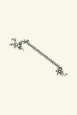 CCCN(CCCO)C(=O)C1=Cc2sc(CC3CN(C(=O)CCOCCOCCOCCOCCOCCOCCOCCOCCOCCOCCC(=O)Oc4c(F)c(F)c(S(=O)(=O)O)c(F)c4F)C3)cc2N=C(N)C1